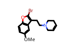 COc1ccc2oc(Br)c(CCN3CC=CCC3)c2c1